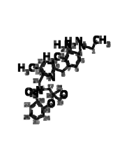 CCN(N)c1ccc(Cc2ccc(C)c(CN3CC4(COC4)Oc4ccccc4[S+]3[O-])n2)c(C)c1N